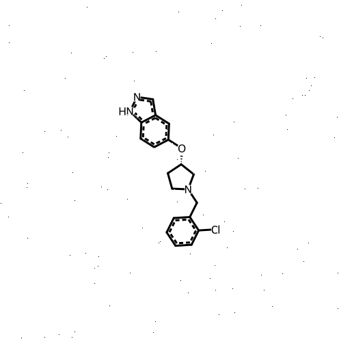 Clc1ccccc1CN1CC[C@H](Oc2ccc3[nH]ncc3c2)C1